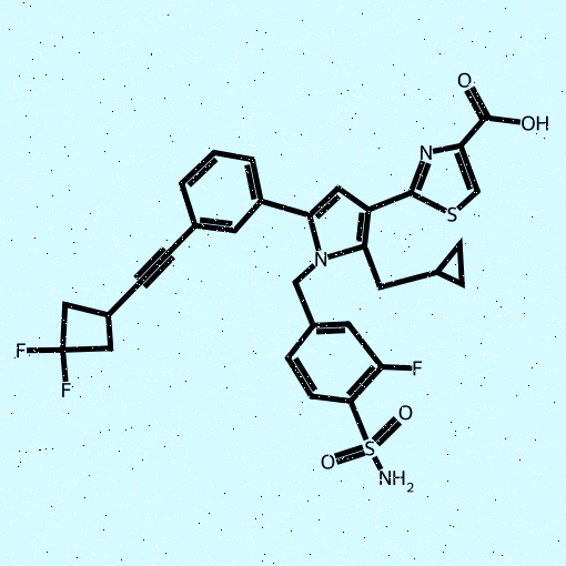 NS(=O)(=O)c1ccc(Cn2c(-c3cccc(C#CC4CC(F)(F)C4)c3)cc(-c3nc(C(=O)O)cs3)c2CC2CC2)cc1F